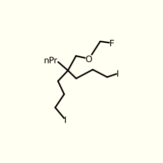 CCCC(CCCI)(CCCI)COCF